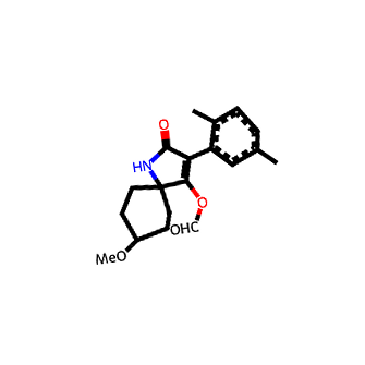 COC1CCC2(CC1)NC(=O)C(c1cc(C)ccc1C)=C2OC=O